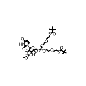 COC1O[C@H]2[C@@](C)(O1)[C@H](n1ccc(=O)[nH]c1=O)O[C@]2(F)COP(OCCOCCSC(=O)C(C)(C)C)OCCOCCSC(=O)C(C)(C)C